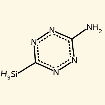 Nc1nnc([SiH3])nn1